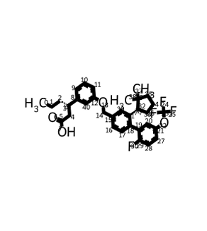 CCC[C@@H](CC(=O)O)c1cccc(OCc2ccc(-c3cc(OC(F)(F)F)ccc3F)c([C@@H]3CCCC3(C)C)c2)c1